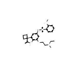 CCN(C)CCOc1cc(NS(=O)(=O)c2ccccc2OC)cc2c1NC(=O)C21CCC1